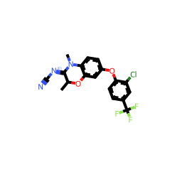 CC1Oc2cc(Oc3ccc(C(F)(F)F)cc3Cl)ccc2N(C)/C1=N/C#N